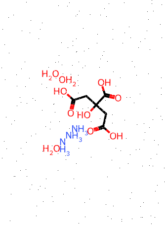 N.N.N.O.O.O.O=C(O)CC(O)(CC(=O)O)C(=O)O